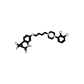 O=C1Nc2cc(OCCCCN3CCN(c4cccc(Cl)c4Cl)CC3)ccc2C2C1C2(F)F